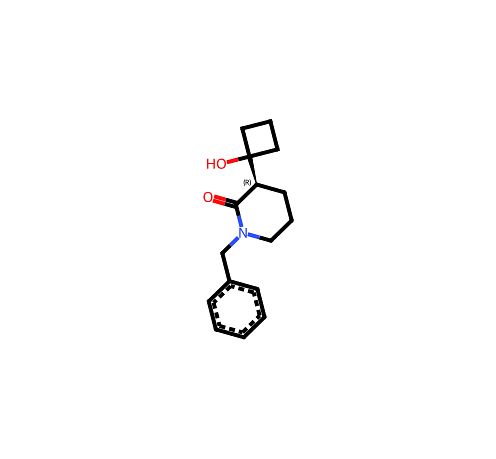 O=C1[C@@H](C2(O)CCC2)CCCN1Cc1ccccc1